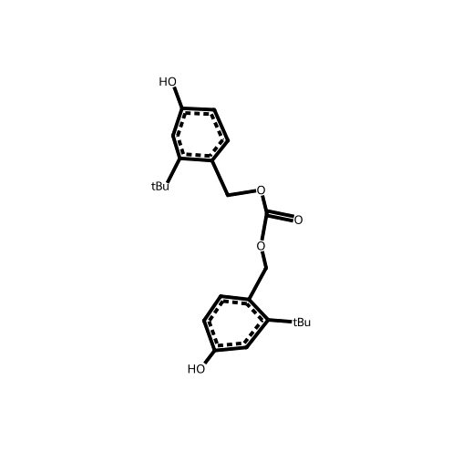 CC(C)(C)c1cc(O)ccc1COC(=O)OCc1ccc(O)cc1C(C)(C)C